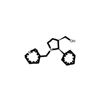 OC[C@@H]1CCN(Cc2cccnc2)[C@@H]1c1ccccc1